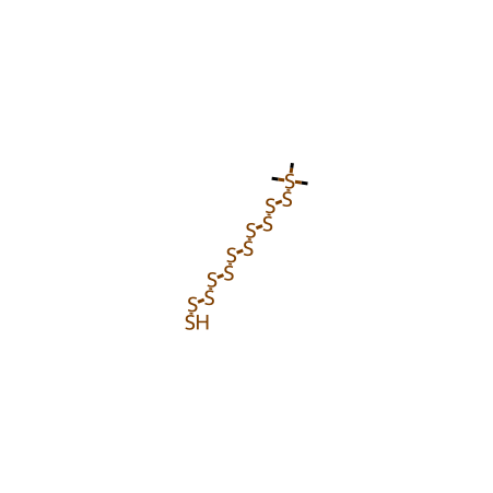 CS(C)(C)SSSSSSSSSSS